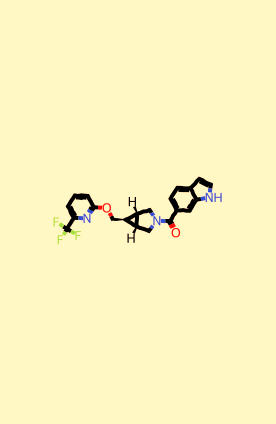 O=C(c1ccc2cc[nH]c2c1)N1C[C@@H]2[C@@H](COc3cccc(C(F)(F)F)n3)[C@@H]2C1